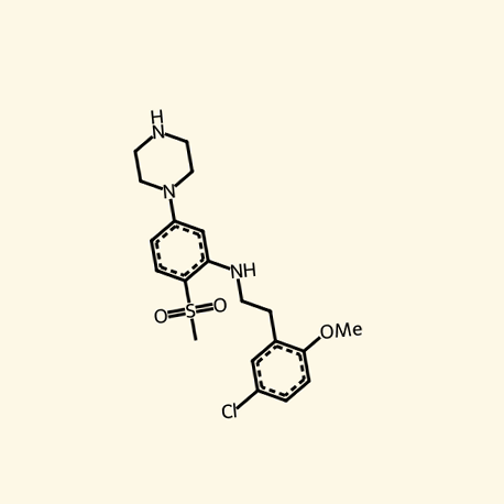 COc1ccc(Cl)cc1CCNc1cc(N2CCNCC2)ccc1S(C)(=O)=O